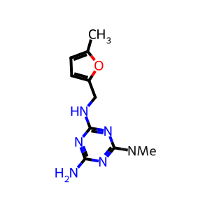 CNc1nc(N)nc(NCc2ccc(C)o2)n1